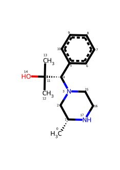 C[C@@H]1CN([C@@H](c2ccccc2)C(C)(C)O)CCN1